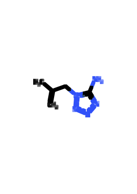 C=C(C)Cn1nnnc1N